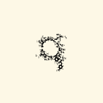 CC[C@H](C)C1NC(=O)[C@@H](CCCNC(=N)N)NC(=O)[C@H](CC(C)C)NC(=O)[C@H]([C@H](O)C(C)C)NC(=O)[C@@H](NC(=O)[C@H](CC(C)C)NC(=O)[C@H](N)Cc2ccc(C(C)C)cc2)[C@@H](c2ccccc2)OC(=O)[C@H](CO)NC(=O)[C@H]([C@H](O)C(N)=O)NC(=O)CNC(=O)C([C@H](C)O)NC1=O